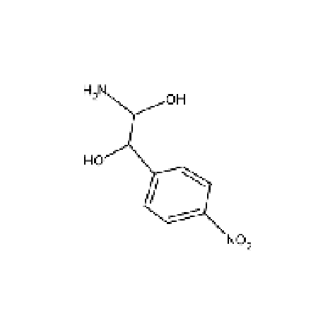 NC(O)C(O)c1ccc([N+](=O)[O-])cc1